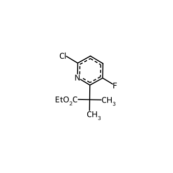 CCOC(=O)C(C)(C)c1nc(Cl)ccc1F